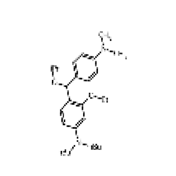 CCCCN(CCCC)c1ccc(C(OC(C)C)c2ccc(N(C)C)cc2)c(OCC)c1